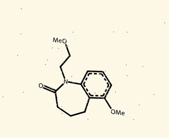 COCCN1C(=O)CCCc2c(OC)cccc21